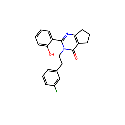 O=c1c2c(nc(-c3ccccc3O)n1CCc1cccc(F)c1)CCC2